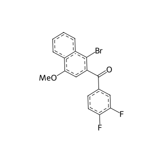 COc1cc(C(=O)c2ccc(F)c(F)c2)c(Br)c2ccccc12